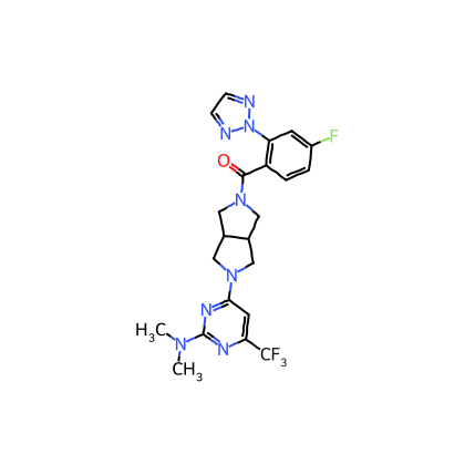 CN(C)c1nc(N2CC3CN(C(=O)c4ccc(F)cc4-n4nccn4)CC3C2)cc(C(F)(F)F)n1